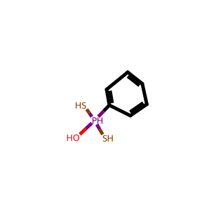 O[PH](S)(S)c1ccccc1